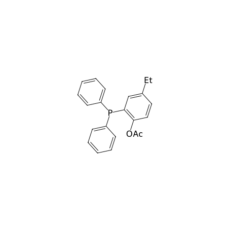 CCc1ccc(OC(C)=O)c(P(c2ccccc2)c2ccccc2)c1